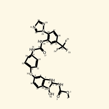 COC(=O)NC1Nc2cc(Oc3ccc(NC(=O)Nc4cc(C(F)(F)F)ccc4-n4cncn4)cc3)ccc2N1O